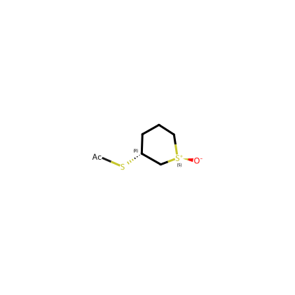 CC(=O)S[C@@H]1CCC[S@@+]([O-])C1